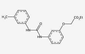 CCOC(=O)COc1cccc(NC(=O)Nc2cccc(C)c2)c1